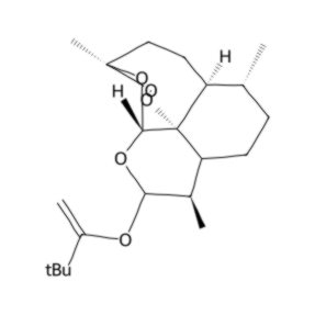 C=C(OC1O[C@@H]2O[C@]3(C)CC[C@H]4[C@H](C)CCC([C@H]1C)[C@@]24OO3)C(C)(C)C